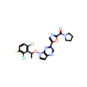 CC(On1ccc2ncc(-c3cnc(C(=O)N4CCCC4)o3)nc21)c1c(Cl)ccc(F)c1Cl